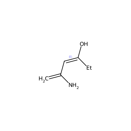 C=C(N)/C=C(/O)CC